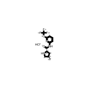 Cl.O=C(Nc1cccc(OC(F)(F)F)n1)[C@@H]1C[C@@H](F)CN1